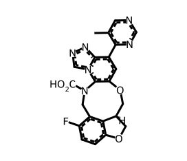 Cc1cncnc1-c1cc2c(n3cnnc13)N(C(=O)O)Cc1c(F)ccc3c1[C@@H](CO3)CO2